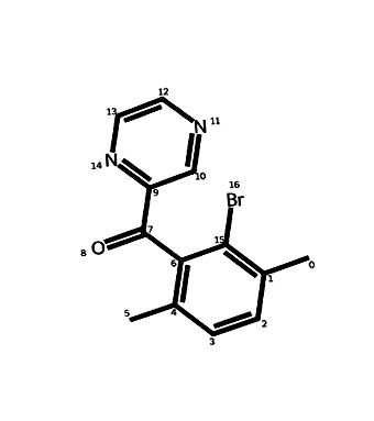 Cc1ccc(C)c(C(=O)c2cnccn2)c1Br